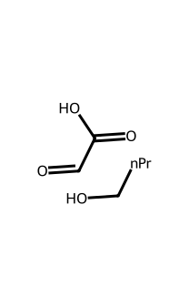 CCCCO.O=CC(=O)O